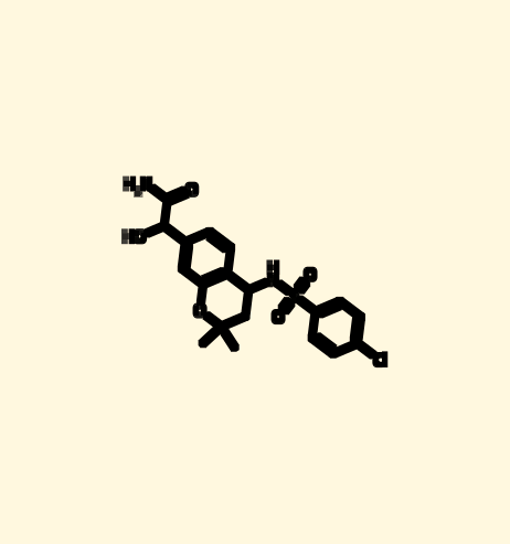 CC1(C)CC(NS(=O)(=O)c2ccc(Cl)cc2)c2ccc(C(O)C(N)=O)cc2O1